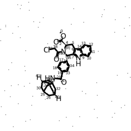 COC(=O)[C@H]1Cc2c([nH]c3ccccc23)[C@H](c2ccc(C(=O)N[C@]34CC5C[C@H](C[C@H](C5)C3)C4)cc2)N1C(=O)CCl